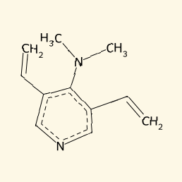 C=Cc1cncc(C=C)c1N(C)C